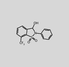 O=S1(=O)c2c(cccc2C(F)(F)F)C(O)N1c1ccccc1